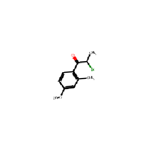 COc1ccc(C(=O)C(C)Br)c(C)c1